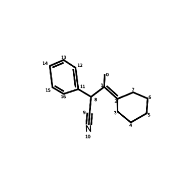 CC(=C1CCCCC1)C(C#N)c1ccccc1